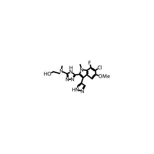 COc1cc2c(-c3cn[nH]c3)c(-c3nnc(N(C)CCO)[nH]3)n(C)c2c(F)c1Cl